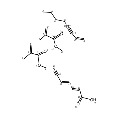 C=C(C)C(=O)OC.C=C(C)C(=O)OC.C=CC#N.C=CC#[N+]CCCC.C=CC(=O)O